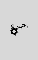 CCSc1ccc[c]c1Cl